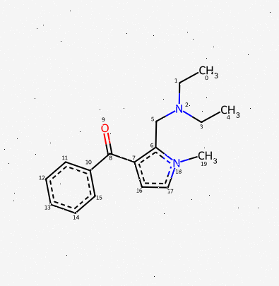 CCN(CC)Cc1c(C(=O)c2ccccc2)ccn1C